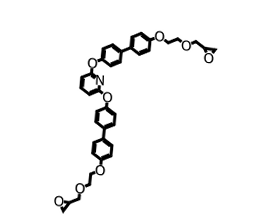 c1cc(Oc2ccc(-c3ccc(OCCOCC4CO4)cc3)cc2)nc(Oc2ccc(-c3ccc(OCCOCC4CO4)cc3)cc2)c1